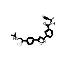 CC(C)NCC(O)c1ccc(-c2cc(-c3cccc(C(=O)N[C@H](C)C#N)c3)no2)cc1